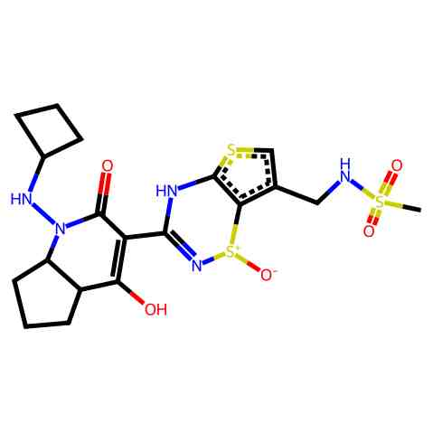 CS(=O)(=O)NCc1csc2c1[S+]([O-])N=C(C1=C(O)C3CCCC3N(NC3CCC3)C1=O)N2